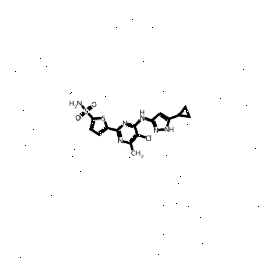 Cc1nc(-c2ccc(S(N)(=O)=O)s2)nc(Nc2cc(C3CC3)[nH]n2)c1Cl